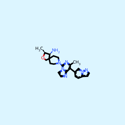 Cc1nc(N2CCC3(CC2)CO[C@@H](C)[C@H]3N)n2ccnc2c1-c1ccc2ccnn2c1